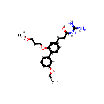 CCOc1cccc(-c2ccc(CCC(=O)NC(=N)N)cc2OCCCOC)c1